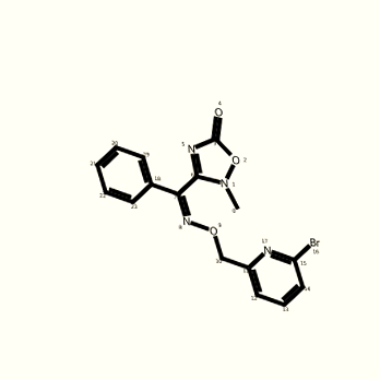 Cn1oc(=O)nc1C(=NOCc1cccc(Br)n1)c1ccccc1